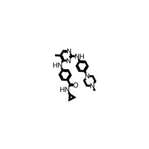 Cc1cnc(Nc2ccc(N3CCN(C)CC3)cc2)nc1Nc1ccc(C(=O)NC2CC2)cc1